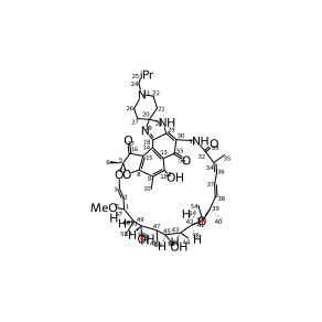 CO[C@H]1/C=C/O[C@@]2(C)Oc3c(C)c(O)c4c(c3C2=O)C2=NC3(CCN(CC(C)C)CC3)NC2=C(NC(=O)/C(C)=C\C=C\[C@]2(C)O[C@H]([C@@H](C)[C@@H](O)[C@@H](C)[C@H](O)[C@@H]1C)[C@H]2C)C4=O